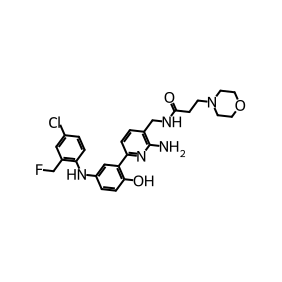 Nc1nc(-c2cc(Nc3ccc(Cl)cc3CF)ccc2O)ccc1CNC(=O)CCN1CCOCC1